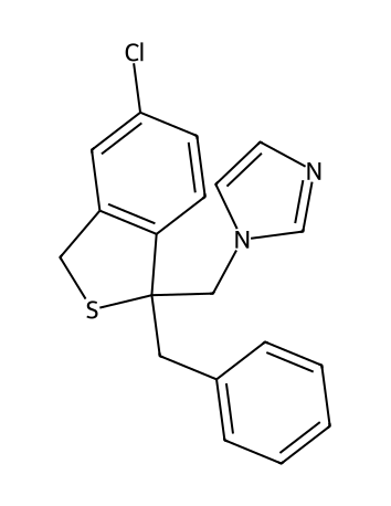 Clc1ccc2c(c1)CSC2(Cc1ccccc1)Cn1ccnc1